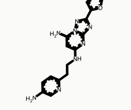 Nc1ccc(CCNc2cc(N)n3nc(-c4ccco4)nc3n2)nc1